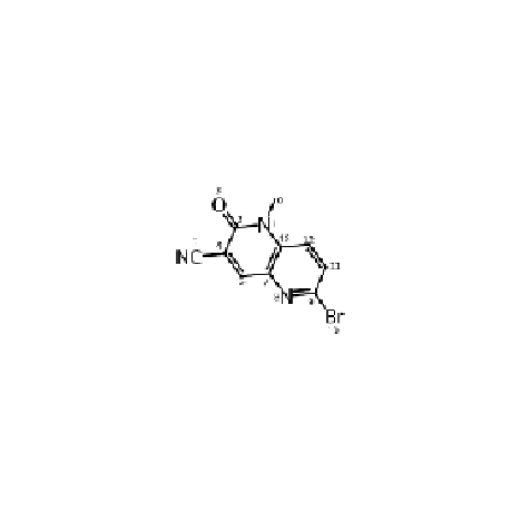 Cn1c(=O)c(C#N)cc2nc(Br)ccc21